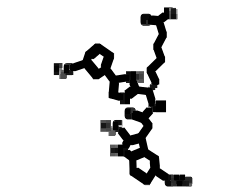 CCC(=O)CCCCC[C@H](NC(=O)Cc1c(C)[nH]c2ccc(OC)cc12)c1ncc(-c2cccc(C(F)(F)F)c2)[nH]1